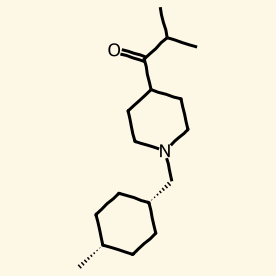 CC(C)C(=O)C1CCN(C[C@H]2CC[C@@H](C)CC2)CC1